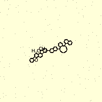 CC1(C)c2ccc(-c3ccc4cc(-c5ccccccc(-c6cccc7ccccc67)c6ccccc56)ccc4c3)cc2-c2ccc3c(ccc4c5ccccc5oc34)c21